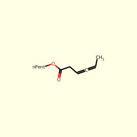 CC=C=CCC(=O)OCCCCC